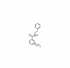 C[n+]1cccc(C(=O)NCCc2ccccc2)c1